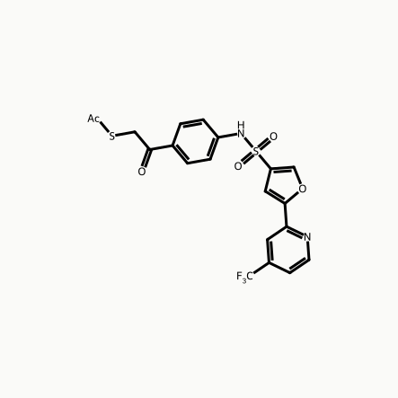 CC(=O)SCC(=O)c1ccc(NS(=O)(=O)c2coc(-c3cc(C(F)(F)F)ccn3)c2)cc1